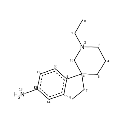 CCN1CCCC(CC)(c2ccc(N)cc2)C1